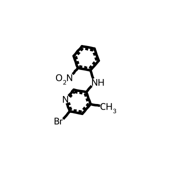 Cc1cc(Br)ncc1Nc1ccccc1[N+](=O)[O-]